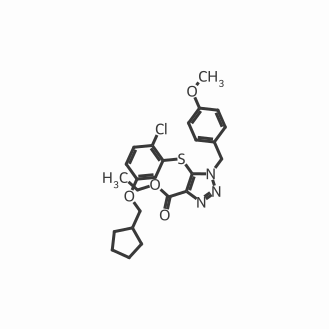 CCOC(=O)c1nnn(Cc2ccc(OC)cc2)c1Sc1cc(OCC2CCCC2)ccc1Cl